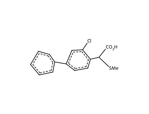 CSC(C(=O)O)c1ccc(-c2ccccc2)cc1Cl